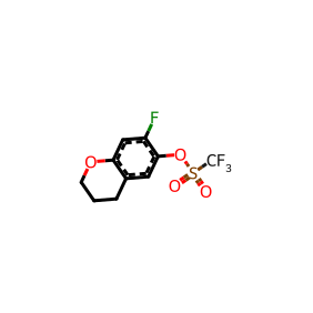 O=S(=O)(Oc1cc2c(cc1F)OCCC2)C(F)(F)F